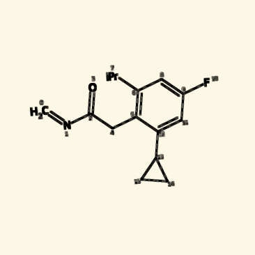 C=NC(=O)Cc1c(C(C)C)cc(F)cc1C1CC1